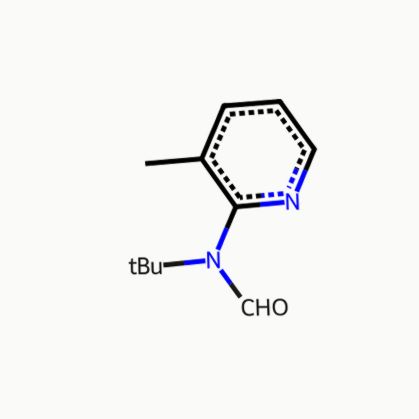 Cc1cccnc1N(C=O)C(C)(C)C